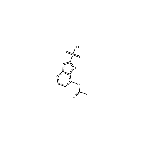 CC(=O)Oc1cccc2cc(S(N)(=O)=O)oc12